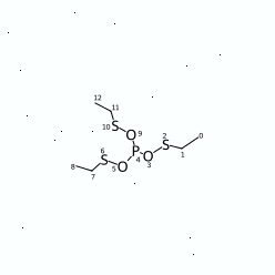 CCSOP(OSCC)OSCC